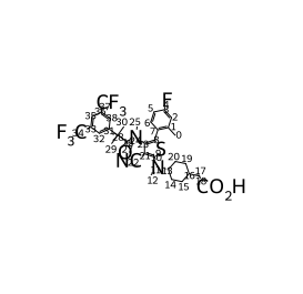 Cc1cc(F)ccc1-c1sc(N(C)[C@H]2CC[C@H](CC(=O)O)CC2)c(C#N)c1N(C)C(=O)C(C)(C)c1cc(C(F)(F)F)cc(C(F)(F)F)c1